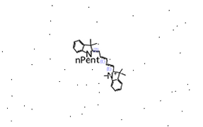 CCCCCN1\C(=C/C=C/C=C/C2=[N+](C)c3ccccc3C2(C)C)C(C)(C)c2ccccc21